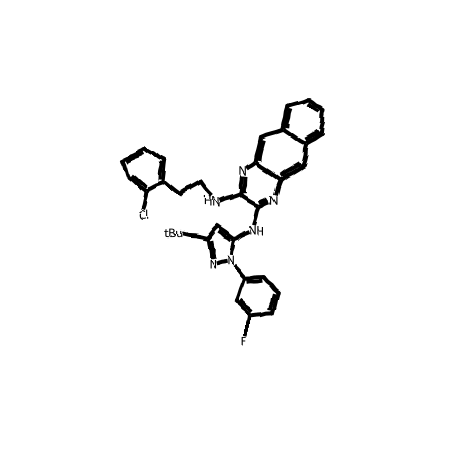 CC(C)(C)c1cc(Nc2nc3cc4ccccc4cc3nc2NCCc2ccccc2Cl)n(-c2cccc(F)c2)n1